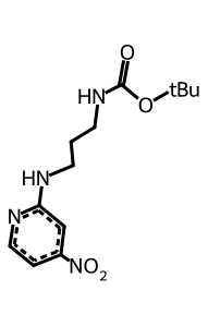 CC(C)(C)OC(=O)NCCCNc1cc([N+](=O)[O-])ccn1